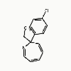 [CH2]CC1(c2ccc(Cl)cc2)C=CC=CC=N1